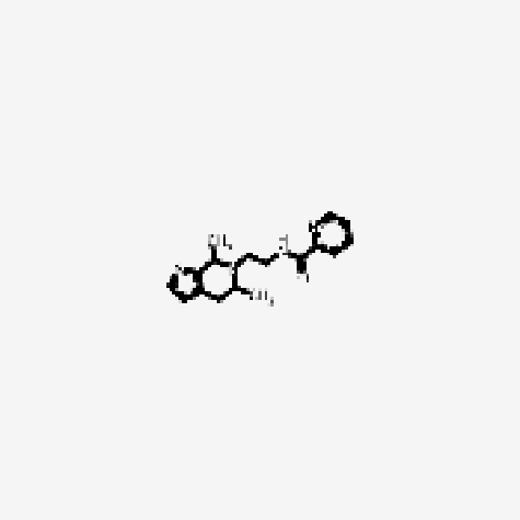 CC1Cc2ccsc2C(C)N1CCNC(=O)c1ccccn1